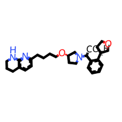 O=C(O)C(c1ccccc1C1CCOC1)N1CC[C@@H](OCCCCc2ccc3c(n2)NCCC3)C1